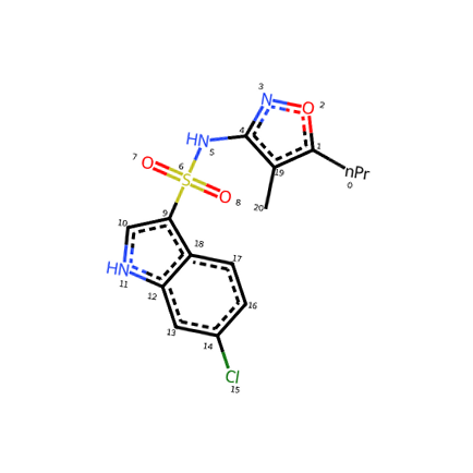 CCCc1onc(NS(=O)(=O)c2c[nH]c3cc(Cl)ccc23)c1C